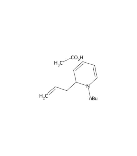 C=CCC1C=CC=CN1CCCC.CC(=O)O